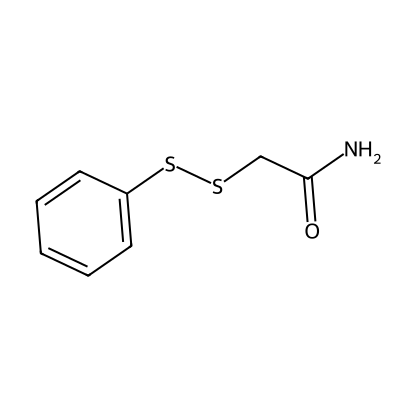 NC(=O)CSSc1ccccc1